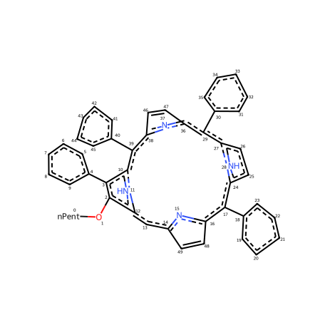 CCCCCOc1c(-c2ccccc2)c2[nH]c1cc1nc(c(-c3ccccc3)c3ccc([nH]3)c(-c3ccccc3)c3nc(c2-c2ccccc2)C=C3)C=C1